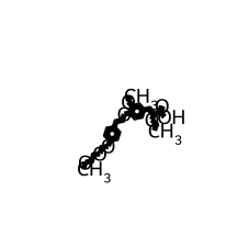 CCOC(=Cc1ccc(OCCc2ccc(OCOCCOC)cc2)c(OC)c1)C(=O)O